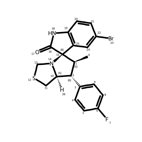 C[C@H]1[C@H](c2ccc(F)cc2)[C@H]2CSCN2[C@]12C(=O)Nc1ccc(Br)cc12